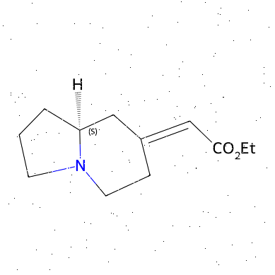 CCOC(=O)C=C1CCN2CCC[C@H]2C1